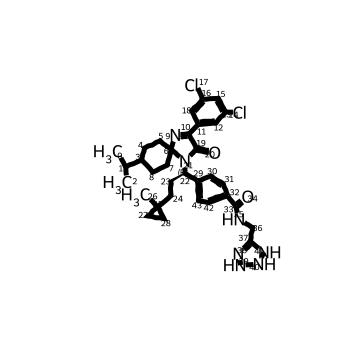 CC(C)C1CCC2(CC1)N=C(c1cc(Cl)cc(Cl)c1)C(=O)N2[C@H](CCC1(C)CC1)c1ccc(C(=O)NCC2=NNNN2)cc1